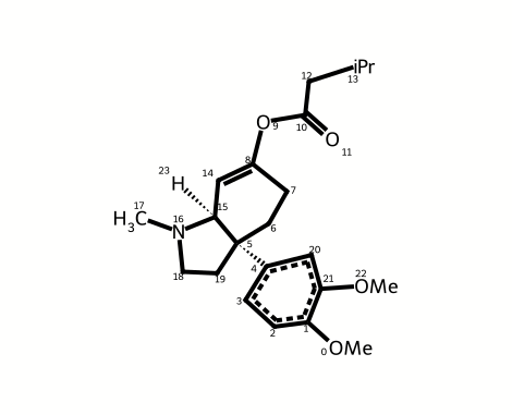 COc1ccc([C@@]23CCC(OC(=O)CC(C)C)=C[C@@H]2N(C)CC3)cc1OC